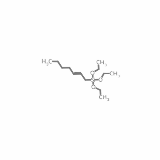 CCCCC=CC[Si](OCC)(OCC)OCC